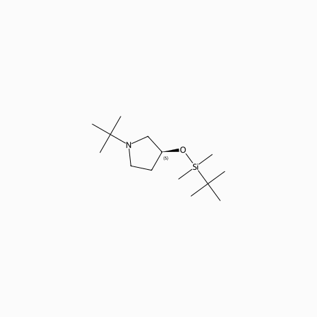 CC(C)(C)N1CC[C@H](O[Si](C)(C)C(C)(C)C)C1